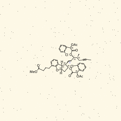 CC#CC[C@H](C)[C@@H](/C=C/[C@@H]1[C@H]2c3cccc(CCCC(=O)OC)c3O[C@H]2C[C@H]1OC(=O)[C@H](OC(C)=O)c1ccccc1Cl)OC(=O)[C@H](OC(C)=O)c1ccccc1Cl